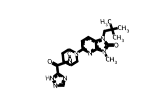 Cn1c(=O)n(CC(C)(C)C)c2ccc(N3CC4CCC3CN4C(=O)c3ncn[nH]3)nc21